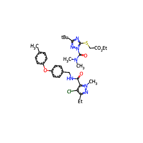 CCOC(=O)CSc1nc(C(C)(C)C)nn1C(=O)N(C)C.CCc1nn(C)c(C(=O)NCc2ccc(Oc3ccc(C)cc3)cc2)c1Cl